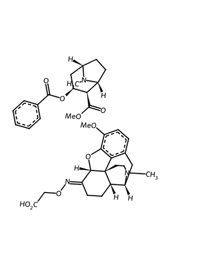 COC(=O)[C@H]1[C@@H](OC(=O)c2ccccc2)C[C@@H]2CC[C@H]1N2C.COc1ccc2c3c1O[C@H]1/C(=N/OCC(=O)O)CC[C@H]4[C@@H](C2)N(C)CC[C@]314